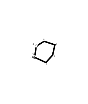 C1C[CH2][Al][O]C1